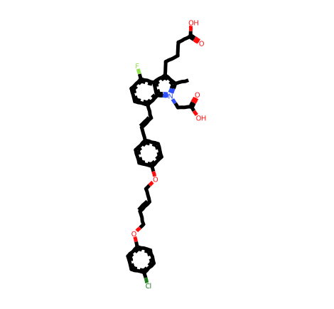 Cc1c(CCCC(=O)O)c2c(F)ccc(C=Cc3ccc(OCC=CCOc4ccc(Cl)cc4)cc3)c2n1CC(=O)O